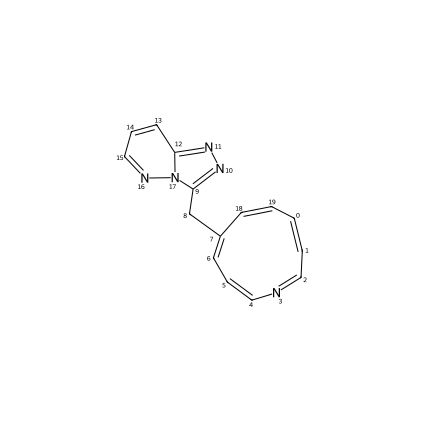 c1ccncccc(Cc2nnc3cccnn23)cc1